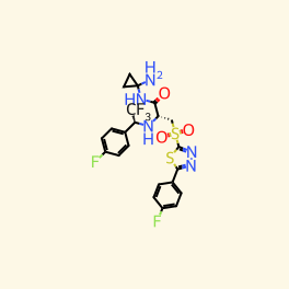 NC1(NC(=O)[C@H](CS(=O)(=O)c2nnc(-c3ccc(F)cc3)s2)N[C@@H](c2ccc(F)cc2)C(F)(F)F)CC1